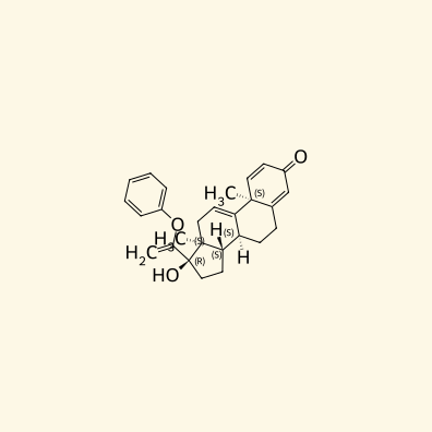 C=C(Oc1ccccc1)[C@@]1(O)CC[C@H]2[C@@H]3CCC4=CC(=O)C=C[C@]4(C)C3=CC[C@@]21C